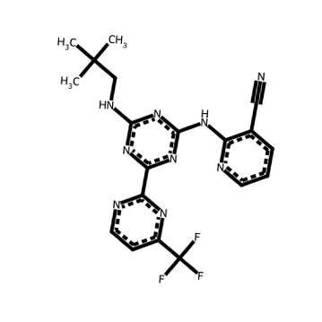 CC(C)(C)CNc1nc(Nc2ncccc2C#N)nc(-c2nccc(C(F)(F)F)n2)n1